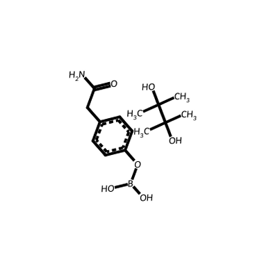 CC(C)(O)C(C)(C)O.NC(=O)Cc1ccc(OB(O)O)cc1